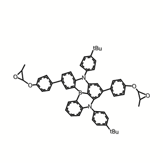 CC1OC1Oc1ccc(-c2ccc3c(c2)B2c4ccccc4N(c4ccc(C(C)(C)C)cc4)c4cc(-c5ccc(OC6OC6C)cc5)cc(c42)N3c2ccc(C(C)(C)C)cc2)cc1